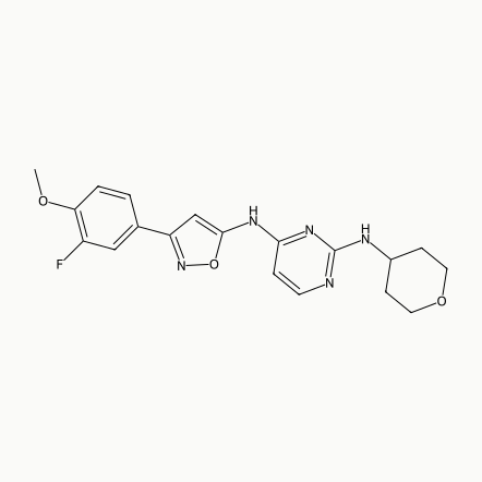 COc1ccc(-c2cc(Nc3ccnc(NC4CCOCC4)n3)on2)cc1F